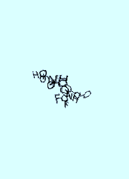 O=C(O)CCNC(=O)c1ccc(CC(C(=O)Nc2cc(F)cc(F)c2)c2ccc(C3CCCCC3)cc2)cc1